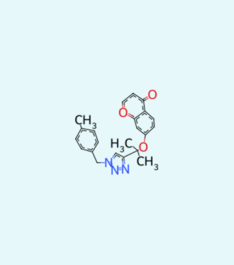 Cc1ccc(Cn2cc(C(C)(C)Oc3ccc4c(=O)ccoc4c3)nn2)cc1